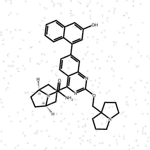 NC(=O)N1[C@@H]2CC[C@H]1CN(c1nc(OCC34CCCN3CCC4)nc3cc(-c4cc(O)cc5ccccc45)ccc13)C2